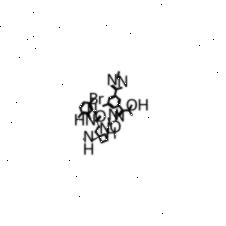 CNC[C@]12CC[C@H]1N(C(=O)Cn1nc(C(C)O)c3cc(-c4cnc(C)nc4)cc(C)c31)[C@H](C(=O)Nc1nc(Br)ccc1C)C2